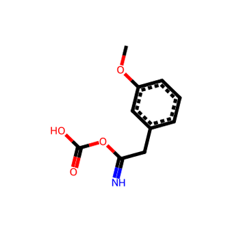 COc1cccc(CC(=N)OC(=O)O)c1